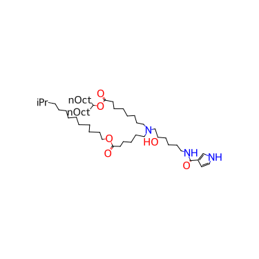 CCCCCCCCC(CCCCCCCC)OC(=O)CCCCCCCN(CCCCCC(=O)OCCCCCCCCCCC(C)C)CC(O)CCCCNC(=O)c1cc[nH]c1